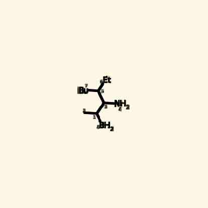 BC(C)C(N)C(CC)C(C)CC